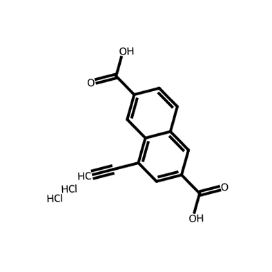 C#Cc1cc(C(=O)O)cc2ccc(C(=O)O)cc12.Cl.Cl